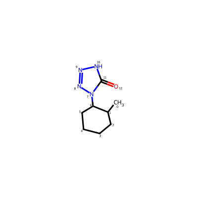 CC1CCCCC1n1nn[nH]c1=O